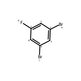 Fc1[c]c(Br)cc(Br)c1